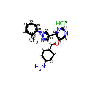 Cl.N[C@H]1CC[C@@H](COc2cncnc2-c2cnn(-c3ccccc3C(F)(F)F)c2)CC1